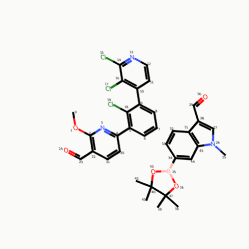 COc1nc(-c2cccc(-c3ccnc(Cl)c3Cl)c2Cl)ccc1C=O.Cn1cc(C=O)c2ccc(B3OC(C)(C)C(C)(C)O3)cc21